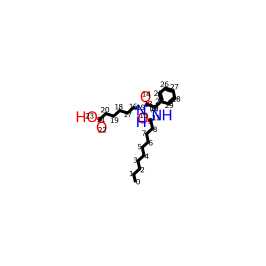 CCCCCCCCCC(=O)N[C@@H](C(=O)NCCCCCC(=O)O)c1ccccc1